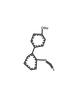 COc1ccc(-c2ccccc2N=C=S)cc1